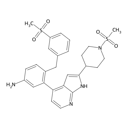 CS(=O)(=O)c1cccc(Cc2ccc(N)cc2-c2ccnc3[nH]c(C4CCN(S(C)(=O)=O)CC4)cc23)c1